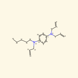 C=CCN(CC=C)c1ccc(N(CC=C)CCCCC)cc1